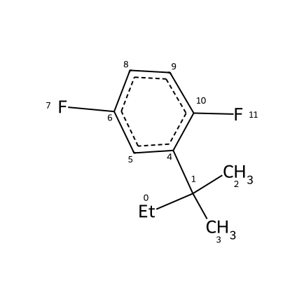 CCC(C)(C)c1cc(F)ccc1F